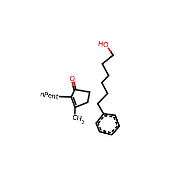 CCCCCC1=C(C)CCC1=O.OCCCCCCc1ccccc1